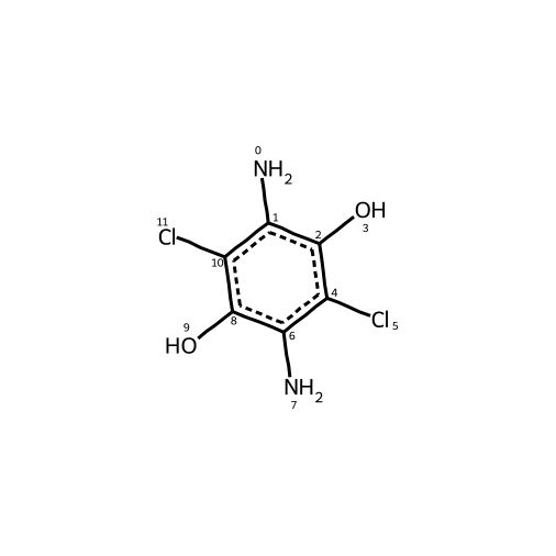 Nc1c(O)c(Cl)c(N)c(O)c1Cl